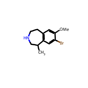 COc1cc2c(cc1Br)C(C)CNCC2